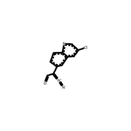 [N-]=[N+]=C(C=O)c1ccc2ncc(Cl)cc2c1